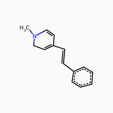 CN1C=CC(C=Cc2ccccc2)=CC1